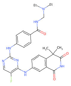 CCN(CC)CNC(=O)c1ccc(Nc2ncc(F)c(Nc3ccc4c(c3)C(=O)NC(=O)C4(C)C)n2)cc1